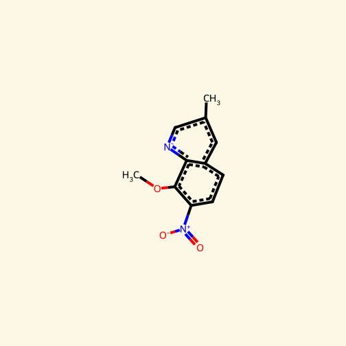 COc1c([N+](=O)[O-])ccc2cc(C)cnc12